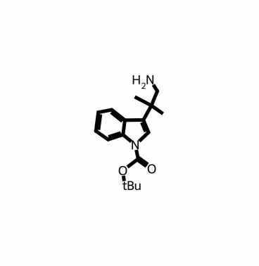 CC(C)(C)OC(=O)n1cc(C(C)(C)CN)c2ccccc21